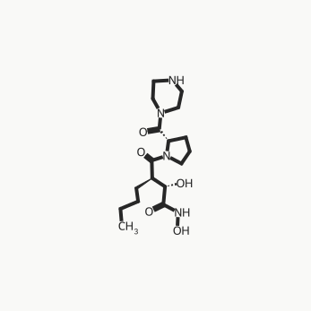 CCCC[C@@H](C(=O)N1CCC[C@H]1C(=O)N1CCNCC1)[C@H](O)C(=O)NO